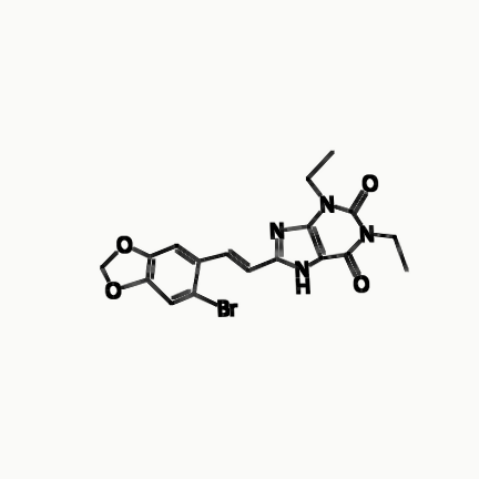 CCn1c(=O)c2[nH]c(C=Cc3cc4c(cc3Br)OCO4)nc2n(CC)c1=O